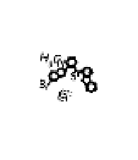 Cn1c2c(c3[c]([Zr+2](=[S])[c]4cccc5c4Cc4ccccc4-5)cccc31)Cc1cc(Br)ccc1-2.[Cl-].[Cl-]